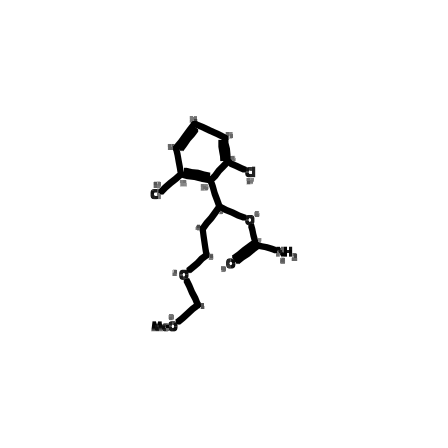 COCOCCC(OC(N)=O)c1c(Cl)cccc1Cl